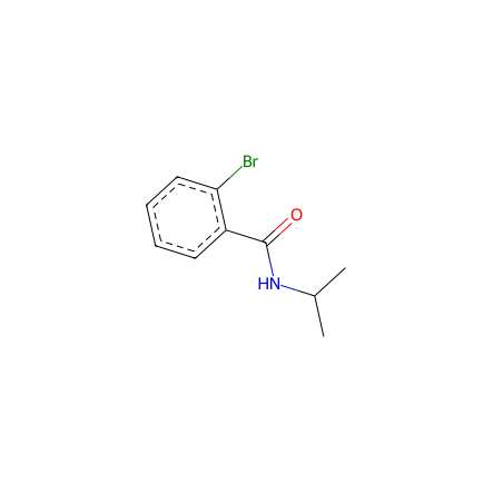 CC(C)NC(=O)c1ccccc1Br